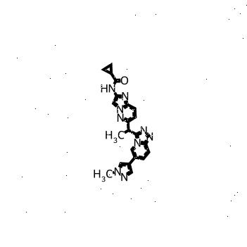 CC(c1ccc2nc(NC(=O)C3CC3)cn2n1)c1nnc2ccc(-c3cnn(C)c3)cn12